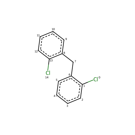 Clc1cc[c]cc1Cc1c[c]ccc1Cl